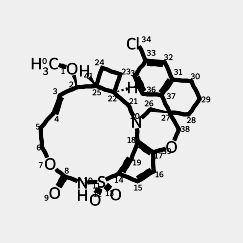 CO[C@@H]1/C=C/CCOC(=O)NS(=O)(=O)c2ccc3c(c2)N(C[C@@H]2CC[C@H]21)C[C@@]1(CCCc2cc(Cl)ccc21)CO3